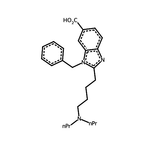 CCCN(CCC)CCCCc1nc2ccc(C(=O)O)cc2n1Cc1ccccc1